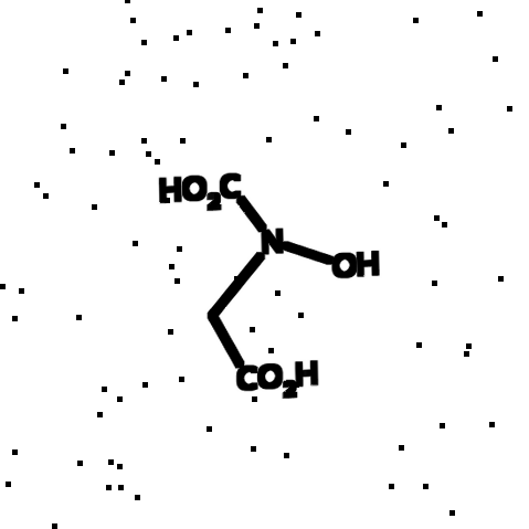 O=C(O)CN(O)C(=O)O